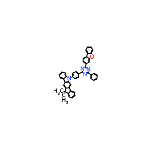 CC1(C)c2ccccc2-c2cc3c(cc21)c1ccccc1n3-c1ccc(-c2nc(-c3ccccc3)nc(-c3ccc4c(c3)oc3ccccc34)n2)cc1